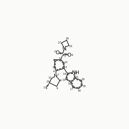 O=S(=O)(c1ccc(N2CC[C@@H](I)C2)c(-c2cc3ccccc3[nH]2)c1)N1CCC1